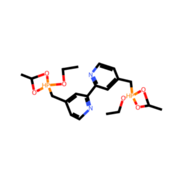 CCO[PH]1(Cc2ccnc(-c3cc(C[PH]4(OCC)OC(C)O4)ccn3)c2)OC(C)O1